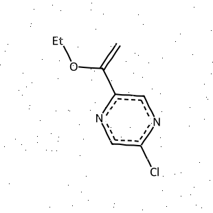 C=C(OCC)c1cnc(Cl)cn1